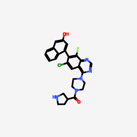 O=C(C1CCNC1)N1CCN(c2ncnc3c(F)c(-c4cc(O)cc5ccccc45)c(Cl)cc23)CC1